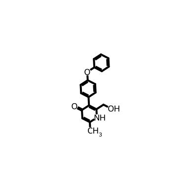 Cc1cc(=O)c(-c2ccc(Oc3ccccc3)cc2)c(CO)[nH]1